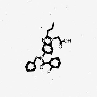 CCCc1nc2cc(N(Cc3ccccc3)C(=O)c3ccccc3F)ccc2n1CC(=O)O